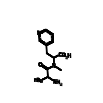 CCCCC(N)C(=O)N(C)C(Cc1cccnc1)C(=O)O